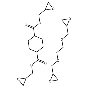 C(COCC1CO1)OCC1CO1.O=C(OCC1CO1)C1CCC(C(=O)OCC2CO2)CC1